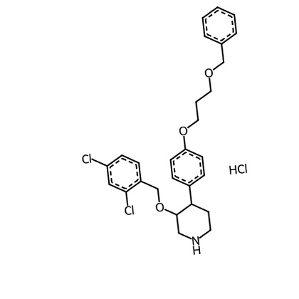 Cl.Clc1ccc(COC2CNCCC2c2ccc(OCCCOCc3ccccc3)cc2)c(Cl)c1